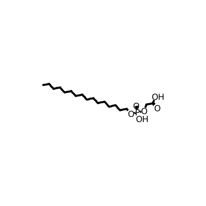 CCCCCCCCCCCCCCCCOP(=O)(O)OCC(=O)O